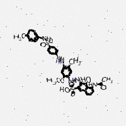 COc1cc(/N=N/c2ccc(S(=O)(=O)Nc3ccc(C)cc3)cc2)c(C)cc1/N=N/c1c(S(=O)(=O)O)cc2cccc(NC(C)=O)c2c1O